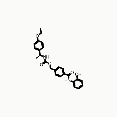 CCOc1ccc([C@H](C)NC(=O)OCc2ccc(C(=O)Nc3ccccc3O)cc2)cc1